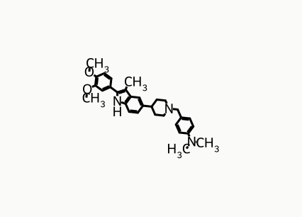 COc1ccc(-c2[nH]c3ccc(C4CCN(Cc5ccc(N(C)C)cc5)CC4)cc3c2C)cc1OC